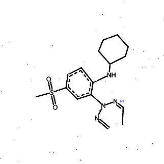 C=NN(/N=C\C)c1cc(S(C)(=O)=O)ccc1NC1CCCCC1